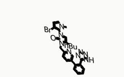 CCCCc1cn(-c2c(Br)ccn2C)c(=O)n1Cc1ccc(-c2ccccc2-c2nnn[nH]2)cn1